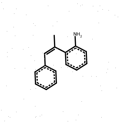 CC(=Cc1ccccc1)c1ccccc1N